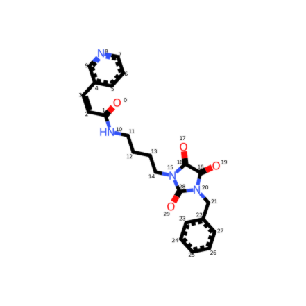 O=C(/C=C\c1cccnc1)NCCCCN1C(=O)C(=O)N(Cc2ccccc2)C1=O